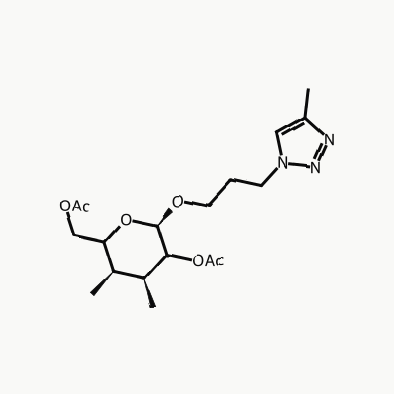 CC(=O)OCC1O[C@@H](OCCCn2cc(C)nn2)C(OC(C)=O)[C@@H](C)[C@H]1C